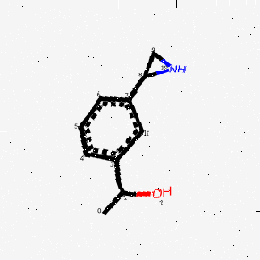 CC(O)c1cccc(C2CN2)c1